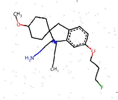 COC1CCC2(CC1)Cc1ccc(OCCCF)cc1C21N=C(C)C(N)=N1